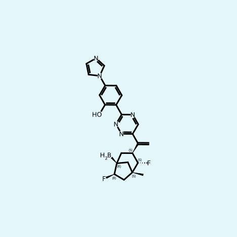 B[C@]12C[C@@H](C(=C)c3cnc(-c4ccc(-n5ccnc5)cc4O)nn3)[C@H](F)[C@](C)(C[C@H]1F)C2